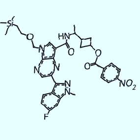 CC(NC(=O)c1cn(COCC[Si](C)(C)C)c2ncc(-c3nn(C)c4cc(F)ccc34)nc12)C1CC(OC(=O)c2ccc([N+](=O)[O-])cc2)C1